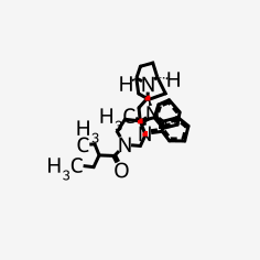 CCC(CC)C(=O)N1CCC(CCN2[C@@H]3CC[C@H]2C[C@@H](n2c(C)nc4ccccc42)C3)(c2ccccc2)CC1